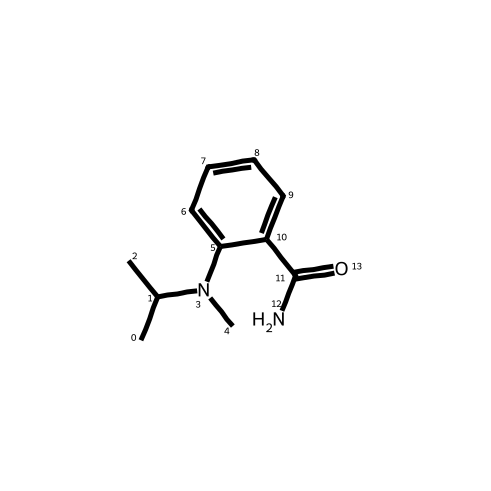 CC(C)N(C)c1ccccc1C(N)=O